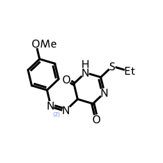 CCSC1=NC(=O)C(/N=N\c2ccc(OC)cc2)C(=O)N1